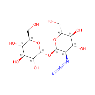 [N-]=[N+]=N[C@H]1[C@@H](O[C@H]2O[C@H](CO)[C@@H](O)[C@H](O)[C@H]2O)O[C@H](CO)[C@@H](O)[C@@H]1O